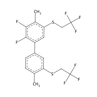 Cc1ccc(-c2cc(SCC(F)(F)F)c(C)c(F)c2F)cc1SCC(F)(F)F